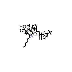 CCCCC/C=C\[C@@H]1C[C@]1(NC(=O)[C@@H]1CCCN1C(=O)CNc1nc(C(C)(C)C)cs1)C(=O)O